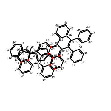 CC1(c2ccccc2)c2ccccc2-c2cccc(N(c3ccccc3-c3ccc4c(c3)c(-c3ccccc3)c(-c3ccccc3)c3ccccc34)c3c(-c4ccccc4)cccc3-c3ccccc3)c21